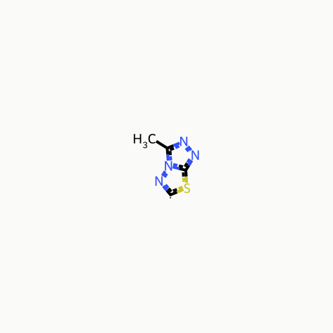 Cc1nnc2s[c]nn12